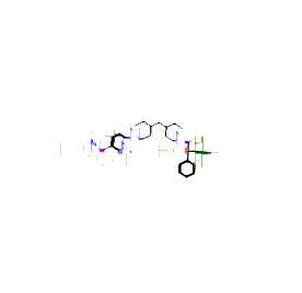 CN(C)C(=O)c1ccc(N2CCC(CC3CCN(C(=O)[C@](O)(c4ccccc4)C(F)(F)C(F)(F)F)CC3)CC2)nc1Cl